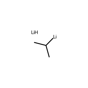 [LiH].[Li][CH](C)C